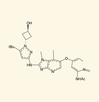 C=N/C(=C\C(=C/C)Oc1cnc2nc(Nc3cc(C(C)(C)C)n([C@H]4C[C@H](O)C4)n3)n(C)c2c1C)NC(C)=O